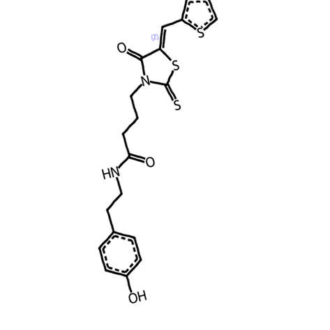 O=C(CCCN1C(=O)/C(=C/c2cccs2)SC1=S)NCCc1ccc(O)cc1